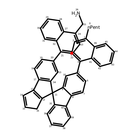 CCCCCc1ccc(-c2ccc3c(c2)C2(C4=C(C=CC4)c4ccc(-c5ccc(CN)c6ccccc56)cc42)c2ccccc2-3)c2ccccc12